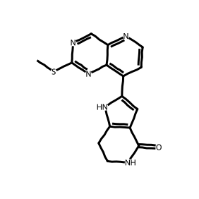 CSc1ncc2nccc(-c3cc4c([nH]3)CCNC4=O)c2n1